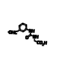 O=[C]c1cccc(NC(=O)NCC(=O)O)c1